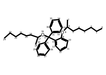 CCCCCCC(C)Oc1ccccc1C(OC(C)CCCCCC)(c1ccccc1)c1ccccc1